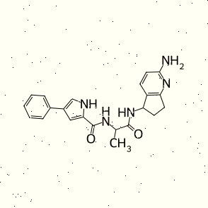 CC(NC(=O)c1cc(-c2ccccc2)c[nH]1)C(=O)NC1CCc2nc(N)ccc21